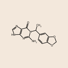 CC(c1ccc2c(c1)OCO2)n1c(N)nc2[nH]cnc2c1=O